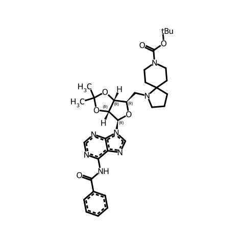 CC(C)(C)OC(=O)N1CCC2(CCCN2C[C@H]2O[C@@H](n3cnc4c(NC(=O)c5ccccc5)ncnc43)[C@@H]3OC(C)(C)O[C@@H]32)CC1